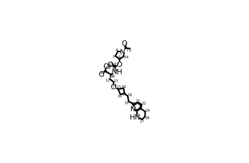 CC(=O)N1CCC(OC(=O)N[C@@H](CCOC2CC(CCc3ccc4c(n3)NCCC4)C2)C(=O)O)C1